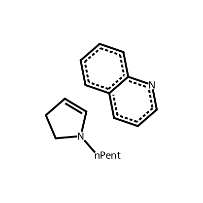 CCCCCN1C=CCC1.c1ccc2ncccc2c1